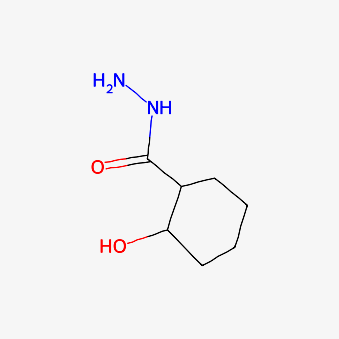 NNC(=O)C1CCCCC1O